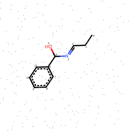 CCC=NC(O)c1ccccc1